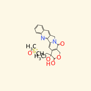 CCC1(O)C(=O)OCc2c1cc1n(c2=O)Cc2cc3ccccc3nc2-1.C[S+](C)[O-]